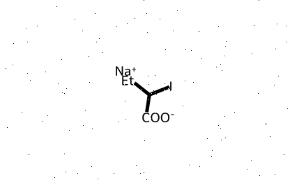 CCC(I)C(=O)[O-].[Na+]